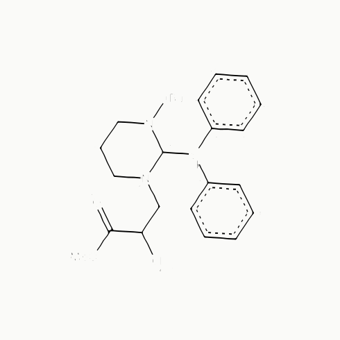 COC(=O)C(C)CN1CCCN(C(C)(C)C)C1[SiH](c1ccccc1)c1ccccc1